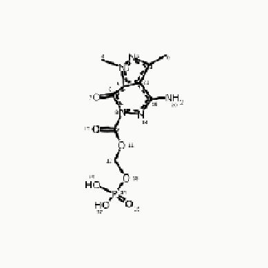 Cc1nn(C)c2c(=O)n(C(=O)OCOP(=O)(O)O)nc(N)c12